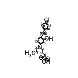 CCCN(CCCS(=O)(=O)O)c1ccc(N=Nc2ccc(Cl)cn2)c(O)c1